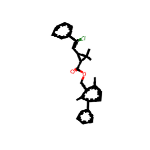 Cc1ccc(-c2ccccc2)c(C)c1COC(=O)C1C(/C=C(\Cl)c2ccccc2)C1(C)C